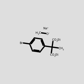 CCOC(=O)C(C)(C(=O)OCC)c1ccc(Br)cc1.C[O-].[Na+]